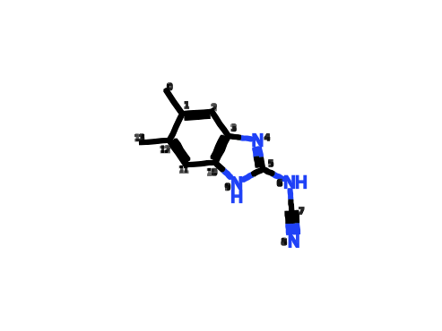 Cc1cc2nc(NC#N)[nH]c2cc1C